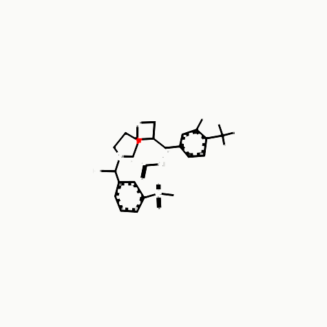 CS(=O)(=O)c1cccc(C(O)N2CCC[C@@H]2C(=O)N[C@@H](c2ccc(C(F)(F)F)c(F)c2)C2COC2)c1